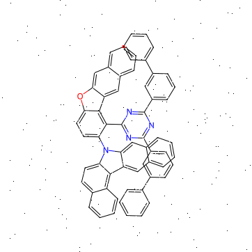 c1ccc(-c2cccc(-c3nc(-c4cccc(-c5ccccc5)c4)nc(-c4c(-n5c6cc7ccccc7cc6c6c7ccccc7ccc65)ccc5oc6cc7ccccc7cc6c45)n3)c2)cc1